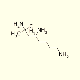 CC(C)(N)CC(N)CCCCN